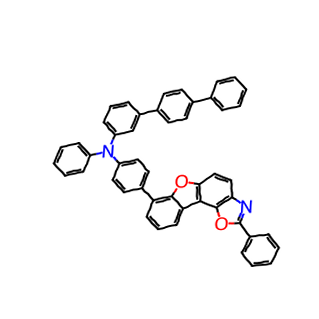 c1ccc(-c2ccc(-c3cccc(N(c4ccccc4)c4ccc(-c5cccc6c5oc5ccc7nc(-c8ccccc8)oc7c56)cc4)c3)cc2)cc1